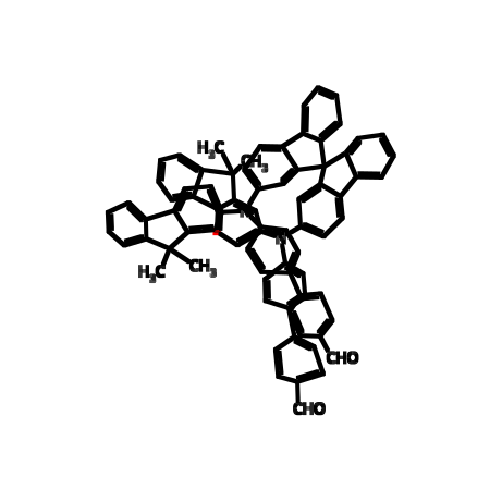 CC1(C)c2ccccc2-c2ccc(N(c3ccc(-c4ccc(C=O)cc4)cc3)c3ccc4c(c3)C3(c5ccccc5-4)c4ccccc4-c4ccc(N(c5ccc(-c6ccc(C=O)cc6)cc5)c5ccc6c(c5)C(C)(C)c5ccccc5-6)cc43)cc21